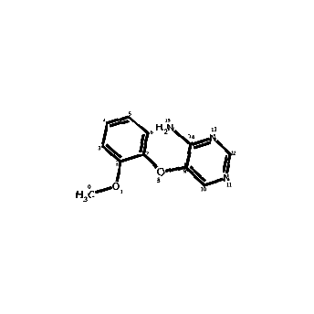 COc1ccccc1Oc1cncnc1N